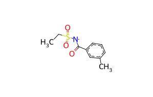 CCS(=O)(=O)[N]C(=O)c1cccc(C)c1